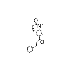 CN1C(=O)CSc2cc(C(=O)/C=C/c3ccccc3)ccc21